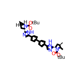 CC1[C@H](C)C[C@@H](c2ncc(-c3ccc(-c4ccc(-c5cnc([C@@H]6C[C@H]7C[C@H]7N6C(=O)OC(C)(C)C)[nH]5)cc4)cc3)[nH]2)N1C(=O)OC(C)(C)C